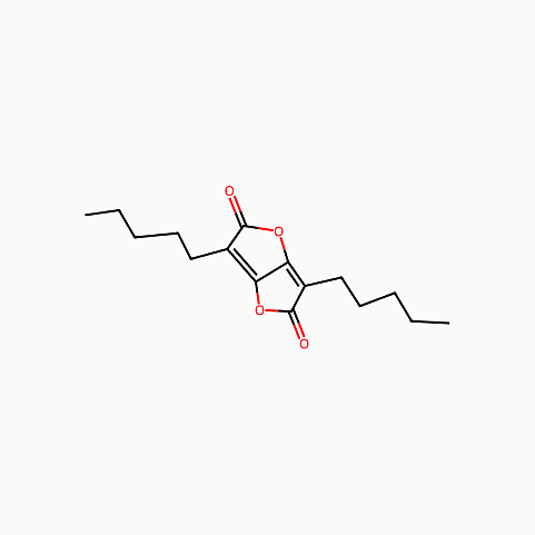 CCCCCC1=C2OC(=O)C(CCCCC)=C2OC1=O